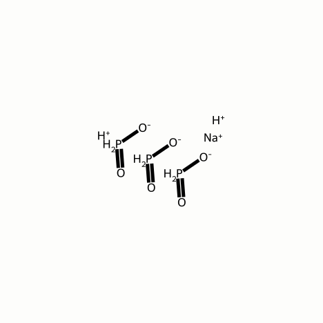 O=[PH2][O-].O=[PH2][O-].O=[PH2][O-].[H+].[H+].[Na+]